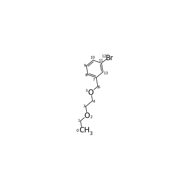 CCOCCO[CH]c1cccc(Br)c1